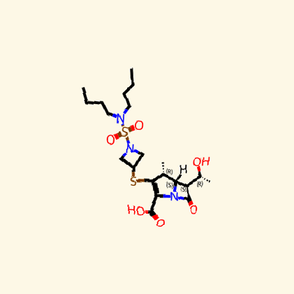 CCCCN(CCCC)S(=O)(=O)N1CC(SC2=C(C(=O)O)N3C(=O)[C@H]([C@@H](C)O)[C@H]3[C@H]2C)C1